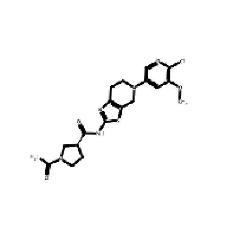 COc1cc(N2CCc3nc(NC(=O)[C@H]4CCN(C(C)=O)C4)sc3C2)cnc1Cl